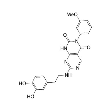 COc1cccc(-n2c(=O)[nH]c3nc(NCCc4ccc(O)c(O)c4)ncc3c2=O)c1